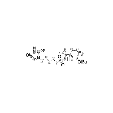 CC(C)COc1cc(C2(NS(=O)(=O)CCCCCN3CC(=O)NC3=O)CC2)ccc1F